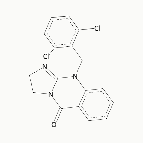 O=C1c2ccccc2N(Cc2c(Cl)cccc2Cl)C2=NCCN12